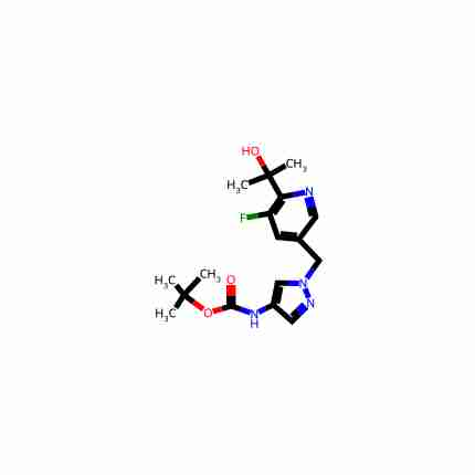 CC(C)(C)OC(=O)Nc1cnn(Cc2cnc(C(C)(C)O)c(F)c2)c1